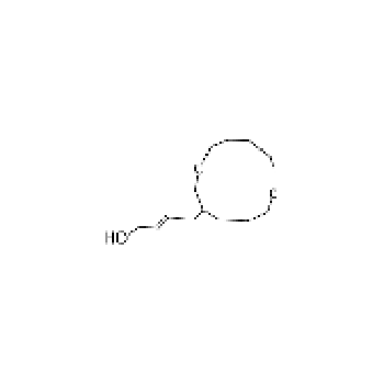 OCC=CCC1CCCCCCCCCCC1